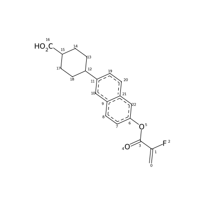 C=C(F)C(=O)Oc1ccc2cc(C3CCC(C(=O)O)CC3)ccc2c1